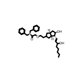 CCCCCC(O)C=C[C@@H]1[C@@H]2CC(CCOCC(=O)N(Cc3ccccc3)Cc3ccccc3)C[C@H]2C[C@H]1O